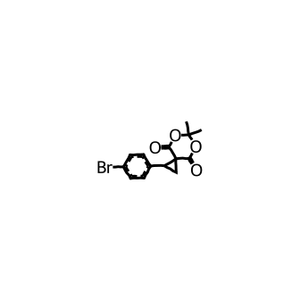 CC1(C)OC(=O)C2(CC2c2ccc(Br)cc2)C(=O)O1